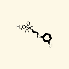 CS(=O)(=O)OCCOc1cccc(Cl)c1